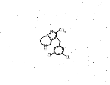 Cc1nn2c(c1Cc1cc(Cl)cc(Cl)c1)CNCCC2